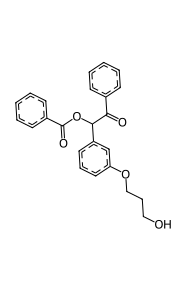 O=C(OC(C(=O)c1ccccc1)c1cccc(OCCCO)c1)c1ccccc1